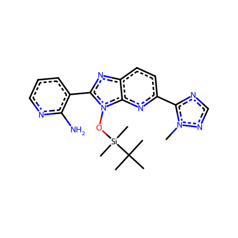 Cn1ncnc1-c1ccc2nc(-c3cccnc3N)n(O[Si](C)(C)C(C)(C)C)c2n1